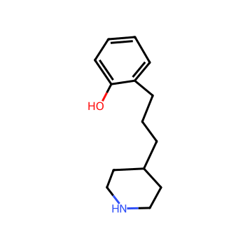 Oc1ccccc1CCCC1CCNCC1